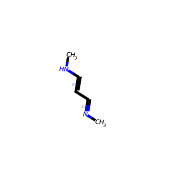 C/N=C/C=C/NC